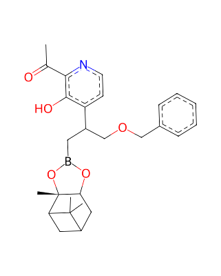 CC(=O)c1nccc(C(COCc2ccccc2)CB2OC3CC4CC(C4(C)C)[C@]3(C)O2)c1O